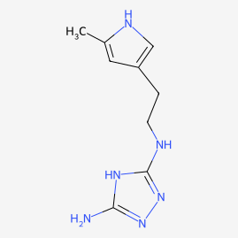 Cc1cc(CCNc2nnc(N)[nH]2)c[nH]1